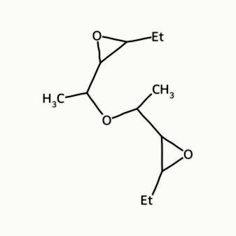 CCC1OC1C(C)OC(C)C1OC1CC